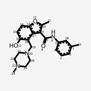 Cc1cccc(NC(=O)c2c(C)oc3ccc(O)c(CN4CCN(C)CC4)c23)c1